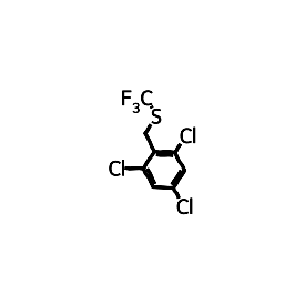 FC(F)(F)SCc1c(Cl)cc(Cl)cc1Cl